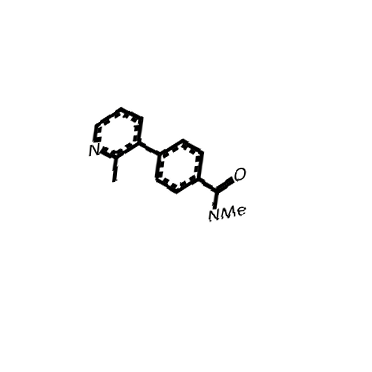 CNC(=O)c1ccc(-c2cccnc2C)cc1